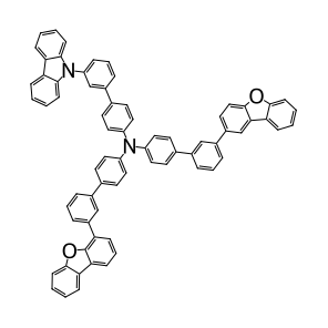 c1cc(-c2ccc(N(c3ccc(-c4cccc(-c5cccc6c5oc5ccccc56)c4)cc3)c3ccc(-c4cccc(-n5c6ccccc6c6ccccc65)c4)cc3)cc2)cc(-c2ccc3oc4ccccc4c3c2)c1